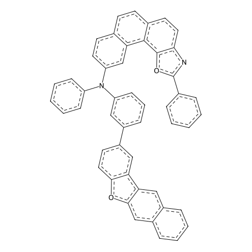 c1ccc(-c2nc3ccc4ccc5ccc(N(c6ccccc6)c6cccc(-c7ccc8oc9cc%10ccccc%10cc9c8c7)c6)cc5c4c3o2)cc1